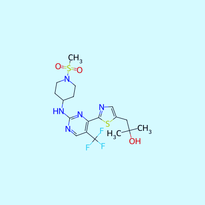 CC(C)(O)Cc1cnc(-c2nc(NC3CCN(S(C)(=O)=O)CC3)ncc2C(F)(F)F)s1